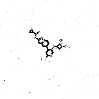 Cc1cc(-c2ccn3nc(NC(=O)C4CC4)cc3c2)c(O[C@@H]2CN(C)[C@@H]2C)cn1